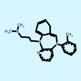 Cc1ccccc1N1C=C2CC=CC=C2N(CCCN(C)C)c2ncccc21